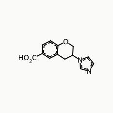 O=C(O)c1ccc2c(c1)CC(n1ccnc1)CO2